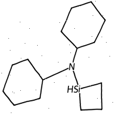 C1CCC(N(C2CCCCC2)[SiH]2CCC2)CC1